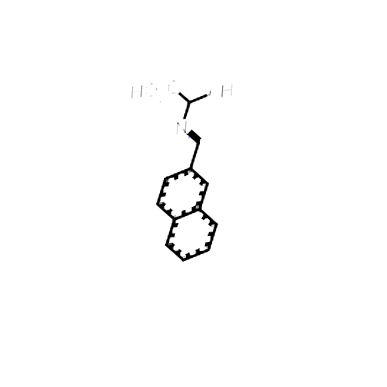 CC(/N=C/c1ccc2ccccc2c1)C(=O)O